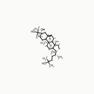 C[C@H](CCC(C)(C)O)[C@H]1CC[C@H]2[C@@H]3CC=C4C[C@](O)(C(C)(C)O)CC[C@]4(C)[C@H]3CC[C@]12C